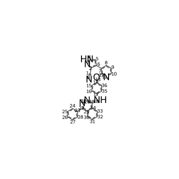 N#Cc1n[nH]cc1-c1cccnc1Oc1ccc(Nc2nnc(-c3ccccc3)c3ccccc23)cc1